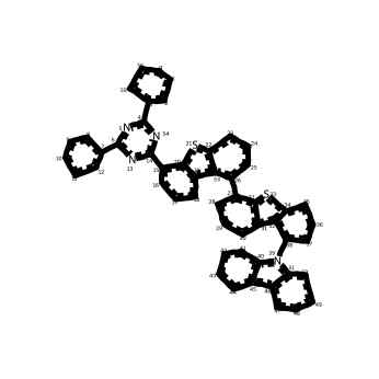 c1ccc(-c2nc(-c3ccccc3)nc(-c3cccc4c3sc3cccc(-c5cccc6c5sc5cccc(-n7c8ccccc8c8ccccc87)c56)c34)n2)cc1